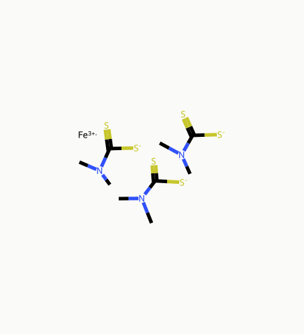 CN(C)C(=S)[S-].CN(C)C(=S)[S-].CN(C)C(=S)[S-].[Fe+3]